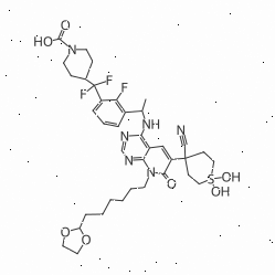 CC(Nc1ncnc2c1cc(C1(C#N)CCS(O)(O)CC1)c(=O)n2CCCCCCC1OCCO1)c1cccc(C(F)(F)C2CCN(C(=O)O)CC2)c1F